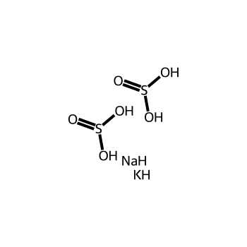 O=S(O)O.O=S(O)O.[KH].[NaH]